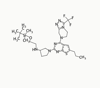 CCCc1cc2c(N3CCn4c(nnc4C(F)(F)F)C3)nc(N3CCC(NCCO[Si](C)(C)C(C)(C)C)C3)nc2s1